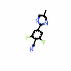 Cc1cnc(-c2cc(F)c(C#N)c(F)c2)nc1